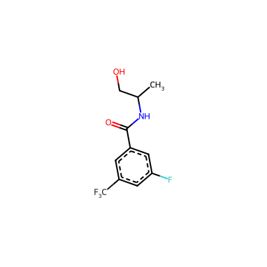 CC(CO)NC(=O)c1cc(F)cc(C(F)(F)F)c1